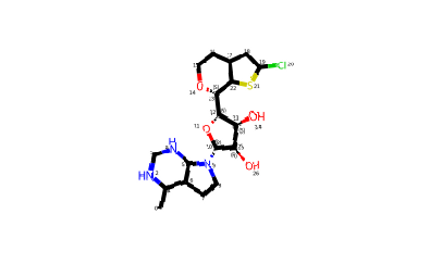 CC1NCNC2C1CCN2[C@@H]1O[C@H]([C@@H]2OCCC3CC(Cl)SC32)[C@@H](O)[C@H]1O